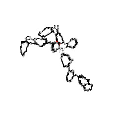 c1cc(-c2ccc(N(c3ccc(-c4ccc5oc6ccccc6c5c4)cc3)c3ccccc3-c3ccc4c(c3)oc3ccccc34)cc2)cc(-c2ccc3ccccc3c2)c1